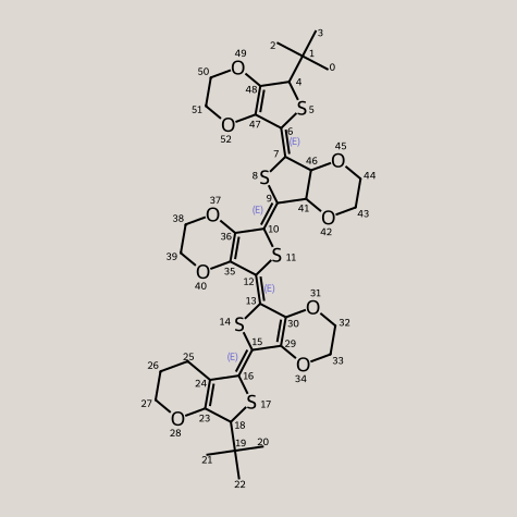 CC(C)(C)C1S/C(=C2/S/C(=c3/s/c(=c4/s/c(=C5/SC(C(C)(C)C)C6=C5CCCO6)c5c4OCCO5)c4c3OCCO4)C3OCCOC23)C2=C1OCCO2